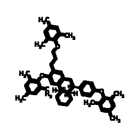 Cc1cc(C)c(OCCCc2cc3c(cc2Oc2c(C)cc(C)cc2C)[C@@H]2CCCC[C@@H]2[C@H](c2ccc(Oc4c(C)cc(C)cc4C)cc2)C3)c(C)c1